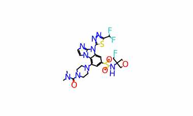 CN(C)C(=O)N1CCN(c2cc(S(=O)(=O)NC3(CF)COC3)cc3c2n2ccnc2n3-c2nnc(C(F)F)s2)CC1